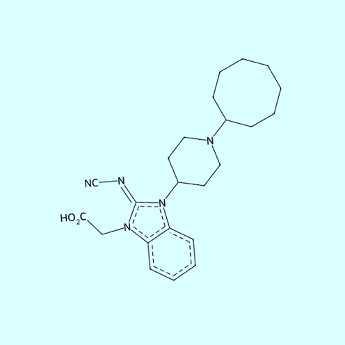 N#C/N=c1\n(CC(=O)O)c2ccccc2n1C1CCN(C2CCCCCCC2)CC1